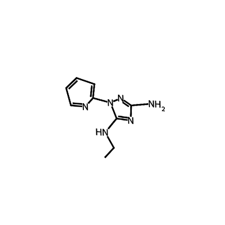 CCNc1nc(N)nn1-c1ccccn1